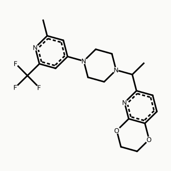 Cc1cc(N2CCN(C(C)c3ccc4c(n3)OCCO4)CC2)cc(C(F)(F)F)n1